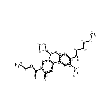 CCOC(=O)c1cn2c(cc1=O)-c1cc(OC)c(OCCCOC)cc1CC2C1CCC1